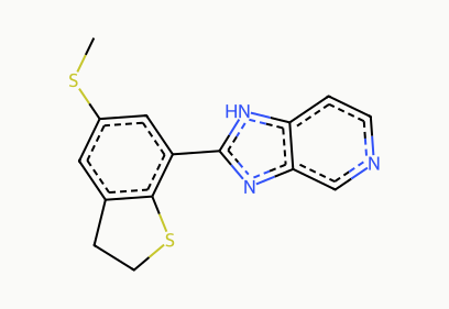 CSc1cc2c(c(-c3nc4cnccc4[nH]3)c1)SCC2